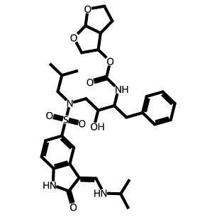 CC(C)CN(CC(O)C(Cc1ccccc1)NC(=O)OC1COC2OCCC12)S(=O)(=O)c1ccc2c(c1)C(=CNC(C)C)C(=O)N2